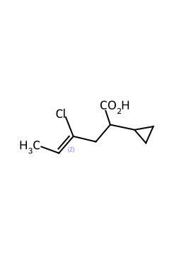 C/C=C(\Cl)CC(C(=O)O)C1CC1